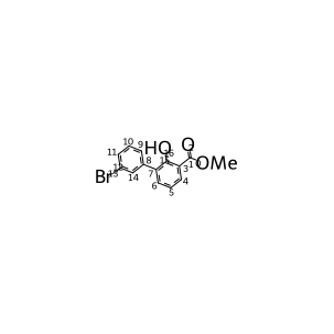 COC(=O)c1cccc(-c2cccc(Br)c2)c1O